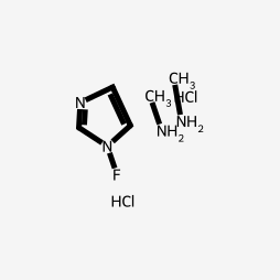 CN.CN.Cl.Cl.Fn1ccnc1